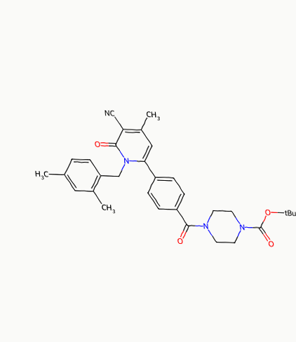 Cc1ccc(Cn2c(-c3ccc(C(=O)N4CCN(C(=O)OC(C)(C)C)CC4)cc3)cc(C)c(C#N)c2=O)c(C)c1